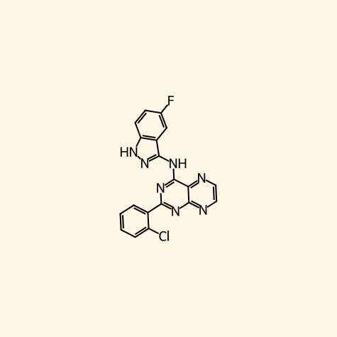 Fc1ccc2[nH]nc(Nc3nc(-c4ccccc4Cl)nc4nccnc34)c2c1